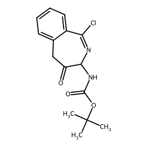 CC(C)(C)OC(=O)NC1N=C(Cl)c2ccccc2CC1=O